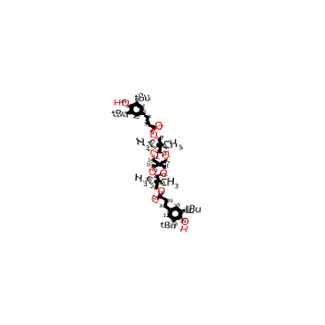 CC(C)(C)c1cc(CCC(=O)OCC(C)(C)C2OCC3(CO2)COC(C(C)(C)COC(=O)CCc2cc(C(C)(C)C)c(O)c(C(C)(C)C)c2)OC3)cc(C(C)(C)C)c1O